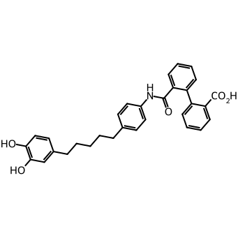 O=C(O)c1ccccc1-c1ccccc1C(=O)Nc1ccc(CCCCCc2ccc(O)c(O)c2)cc1